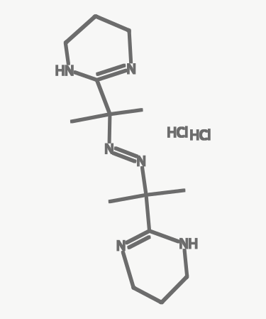 CC(C)(N=NC(C)(C)C1=NCCCN1)C1=NCCCN1.Cl.Cl